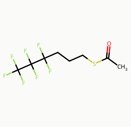 CC(=O)SCCCC(F)(F)C(F)(F)C(F)(F)F